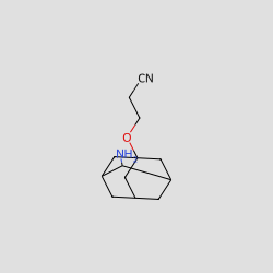 N#CCCOC12CC3CC(C1)C(N)C(C3)C2